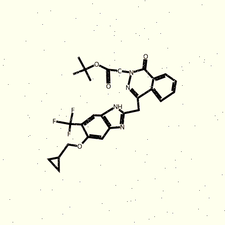 CC(C)(C)OC(=O)Cn1nc(Cc2nc3cc(OCC4CC4)c(C(F)(F)F)cc3[nH]2)c2ccccc2c1=O